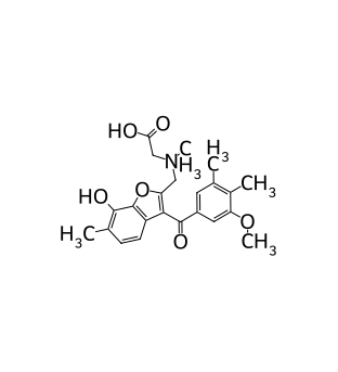 COc1cc(C(=O)c2c(CN(C)CC(=O)O)oc3c(O)c(C)ccc23)cc(C)c1C